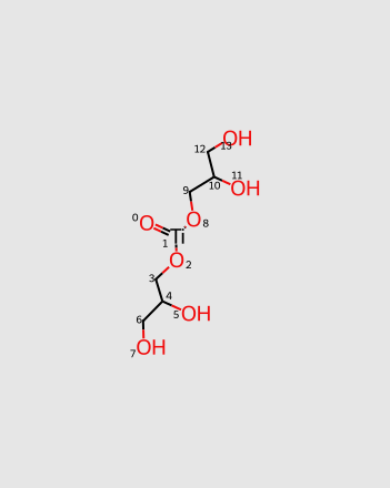 [O]=[Ti]([O]CC(O)CO)[O]CC(O)CO